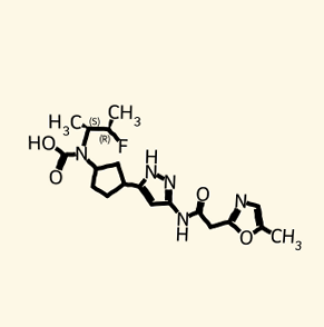 Cc1cnc(CC(=O)Nc2cc(C3CCC(N(C(=O)O)[C@@H](C)[C@@H](C)F)C3)[nH]n2)o1